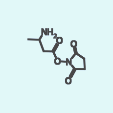 CC(N)CC(=O)ON1C(=O)CCC1=O